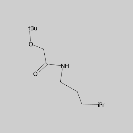 CC(C)CCCNC(=O)COC(C)(C)C